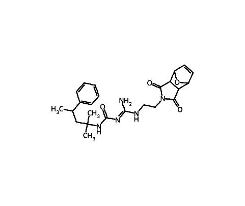 CC(CC(C)(C)NC(=O)/N=C(\N)NCCN1C(=O)C2C3C=CC(O3)C2C1=O)c1ccccc1